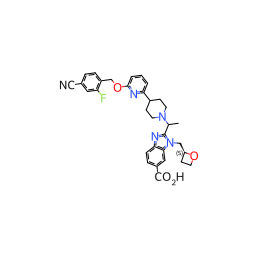 CC(c1nc2ccc(C(=O)O)cc2n1C[C@@H]1CCO1)N1CCC(c2cccc(OCc3ccc(C#N)cc3F)n2)CC1